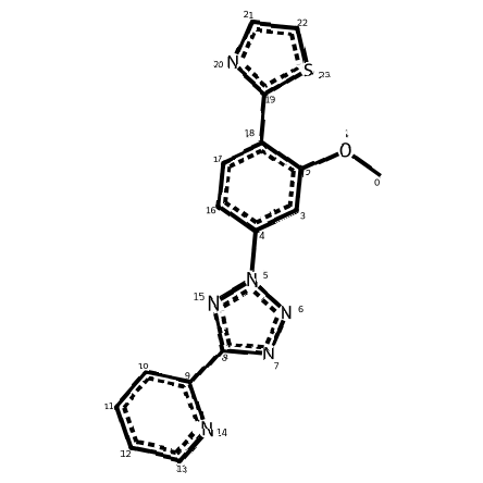 COc1cc(-n2nnc(-c3ccccn3)n2)ccc1-c1nccs1